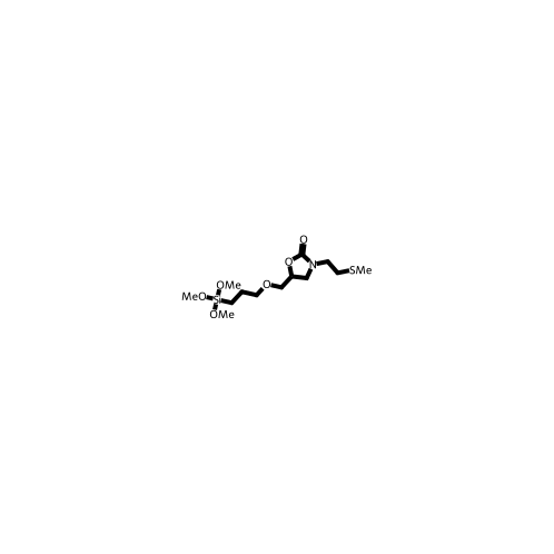 CO[Si](CCCOCC1CN(CCSC)C(=O)O1)(OC)OC